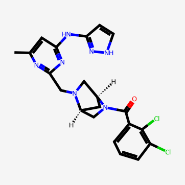 Cc1cc(Nc2cc[nH]n2)nc(CN2C[C@@H]3C[C@H]2CN3C(=O)c2cccc(Cl)c2Cl)n1